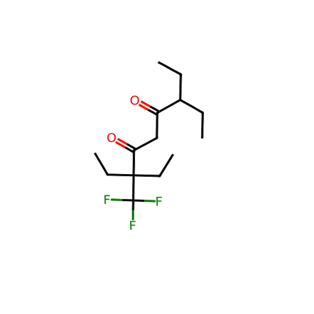 CCC(CC)C(=O)CC(=O)C(CC)(CC)C(F)(F)F